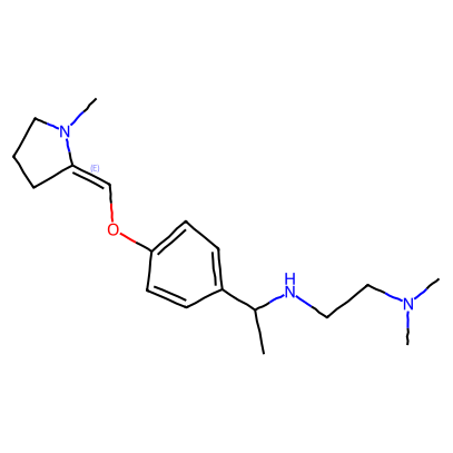 CC(NCCN(C)C)c1ccc(O/C=C2\CCCN2C)cc1